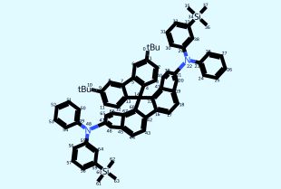 CC(C)(C)c1ccc2c(c1)-c1cc(C(C)(C)C)ccc1C21c2c(ccc3cc(N(c4ccccc4)c4cccc([Si](C)(C)C)c4)ccc23)-c2ccc3cc(N(c4ccccc4)c4cccc([Si](C)(C)C)c4)ccc3c21